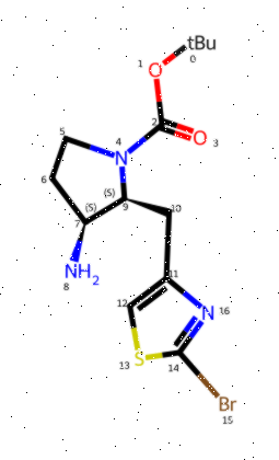 CC(C)(C)OC(=O)N1CC[C@H](N)[C@@H]1Cc1csc(Br)n1